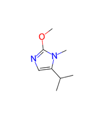 COc1ncc(C(C)C)n1C